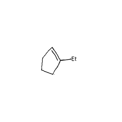 CCC1=CCC[CH]1